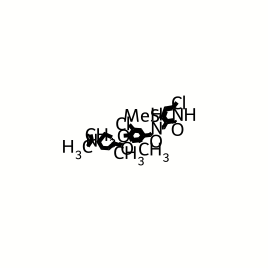 CSc1cc(Cl)[nH]c(=O)c1CNC(=O)c1cc(Cl)c2c(c1C)O[C@@](C)([C@H]1CC[C@@H](N(C)C)CC1)O2